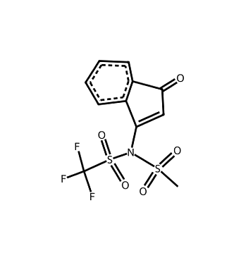 CS(=O)(=O)N(C1=CC(=O)c2ccccc21)S(=O)(=O)C(F)(F)F